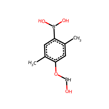 Cc1cc(B(O)O)c(C)cc1OBO